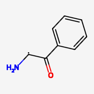 N[CH]C(=O)c1ccccc1